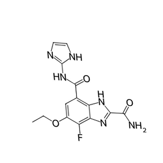 CCOc1cc(C(=O)Nc2ncc[nH]2)c2[nH]c(C(N)=O)nc2c1F